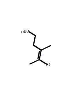 CCCCCC/C(C)=C(\C)CC